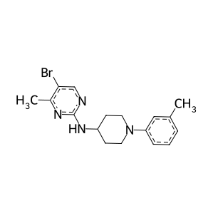 Cc1cccc(N2CCC(Nc3ncc(Br)c(C)n3)CC2)c1